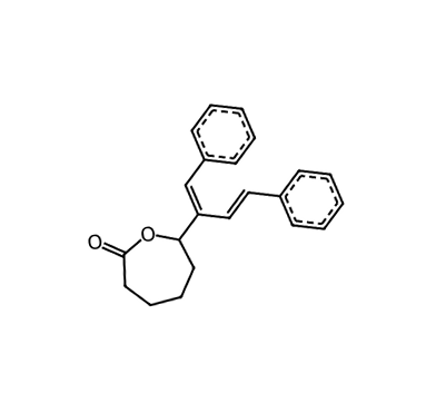 O=C1CCCCC(C(C=Cc2ccccc2)=Cc2ccccc2)O1